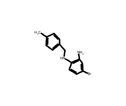 Cc1ccc(CNc2ccc(Br)cc2N)cc1